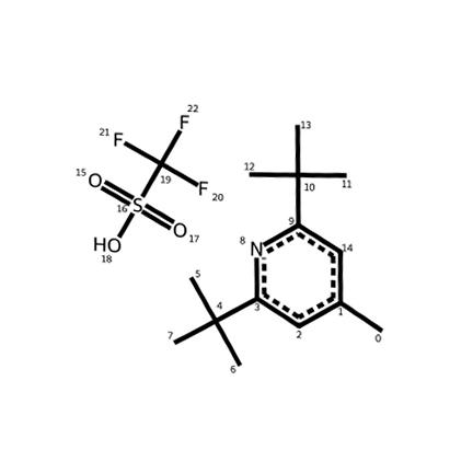 Cc1cc(C(C)(C)C)nc(C(C)(C)C)c1.O=S(=O)(O)C(F)(F)F